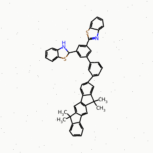 CC1(C)c2ccccc2-c2cc3c(cc21)-c1ccc(-c2cccc(-c4cc(-c5nc6ccccc6s5)cc(C5Nc6ccccc6S5)c4)c2)cc1C3(C)C